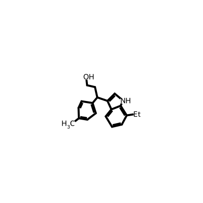 CCc1cccc2c(C(CCO)c3ccc(C)cc3)c[nH]c12